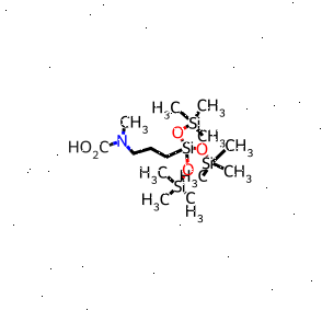 CN(CCC[Si](O[Si](C)(C)C)(O[Si](C)(C)C)O[Si](C)(C)C)C(=O)O